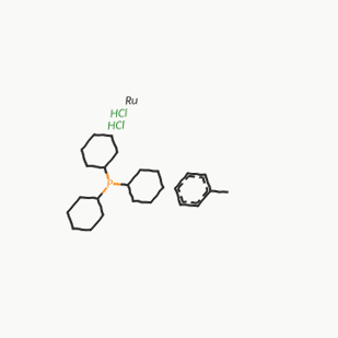 C1CCC(P(C2CCCCC2)C2CCCCC2)CC1.Cc1ccccc1.Cl.Cl.[Ru]